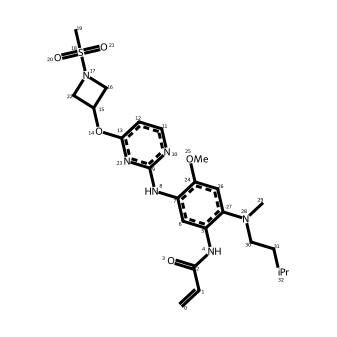 C=CC(=O)Nc1cc(Nc2nccc(OC3CN(S(C)(=O)=O)C3)n2)c(OC)cc1N(C)CCC(C)C